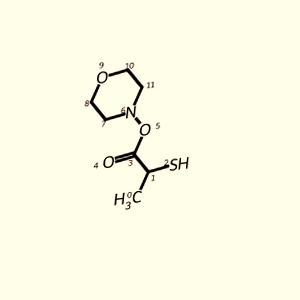 CC(S)C(=O)ON1CCOCC1